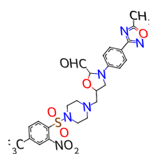 Cc1nc(-c2ccc(N3CC(CN4CCN(S(=O)(=O)c5ccc(C(F)(F)F)cc5[N+](=O)[O-])CC4)OC3C=O)cc2)no1